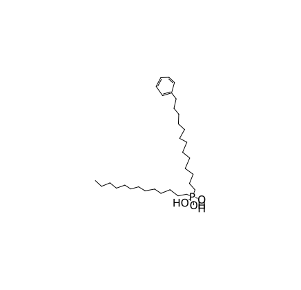 CCCCCCCCCCCCCP(O)(O)(O)CCCCCCCCCCCCCc1ccccc1